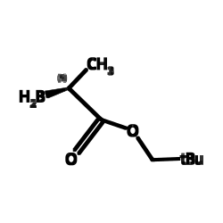 B[C@@H](C)C(=O)OCC(C)(C)C